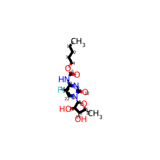 CCCCCOC(=O)Nc1nc(=O)n([C@@H]2O[C@H](C)[C@H](O)C2O)cc1F